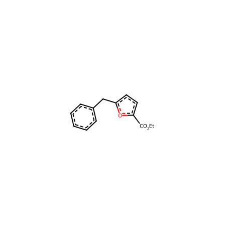 CCOC(=O)c1ccc(Cc2ccccc2)o1